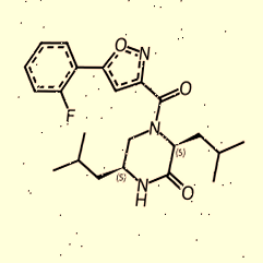 CC(C)C[C@H]1CN(C(=O)c2cc(-c3ccccc3F)on2)[C@@H](CC(C)C)C(=O)N1